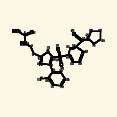 O=C(O)NCCc1nc(-c2ccccc2F)c(S(=O)(=O)c2cccc(C(=O)N3CCCC3)c2)s1